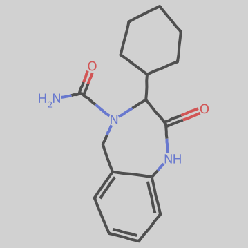 NC(=O)N1Cc2ccccc2NC(=O)C1C1CCCCC1